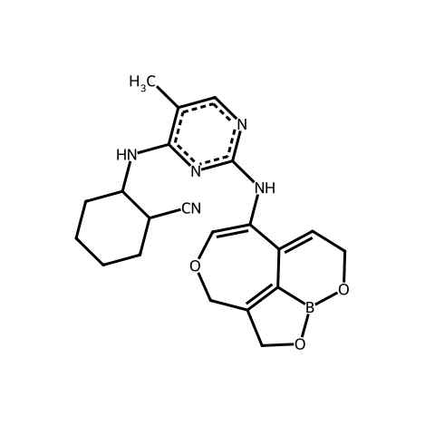 Cc1cnc(NC2=COCC3=C4B(OCC=C24)OC3)nc1NC1CCCCC1C#N